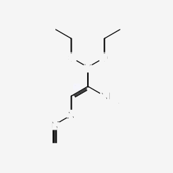 C=NN/C=C(\N)P(OCC)OCC